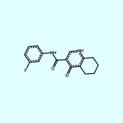 O=C(Nc1cccc(F)c1)c1c[nH]c2c(c1=O)CCCC2